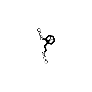 O=C=NCCC12CCC(CC1)CC2N=C=O